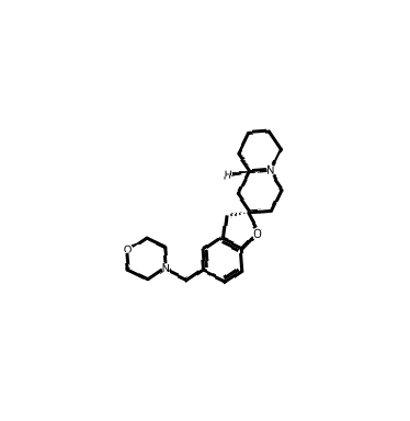 c1cc2c(cc1CN1CCOCC1)C[C@]1(CCN3CCCC[C@H]3C1)O2